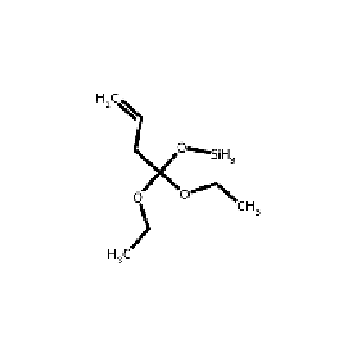 C=CCC(O[SiH3])(OCC)OCC